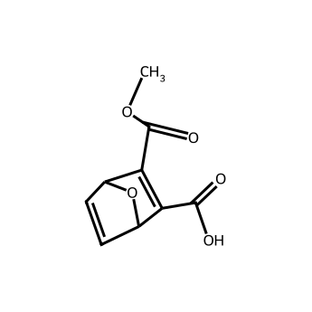 COC(=O)C1=C(C(=O)O)C2C=CC1O2